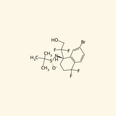 CC(C)(C)[S@@+]([O-])N[C@]1(C(F)(F)CO)CCC(F)(F)c2ccc(Br)cc21